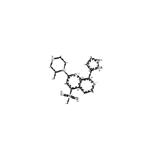 CC1COCCN1c1cc(S(C)(=O)=O)c2ccnc(-c3ccn[nH]3)c2n1